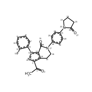 CC(=O)c1nn(-c2ccccc2F)c2c1CCN(c1ccc(N3CCCC3=O)cc1)C2=O